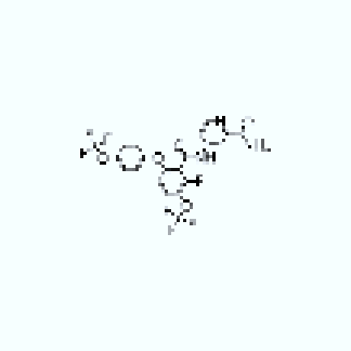 NC(=O)c1cc(NC(=O)c2c(Oc3ccc(OC(F)(F)F)cc3)ccc(OC(F)(F)F)c2F)ccn1